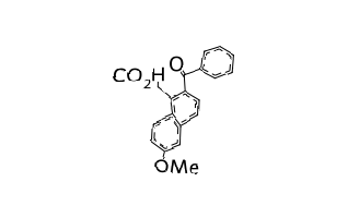 COc1ccc2c(CC(=O)O)c(C(=O)c3ccccc3)ccc2c1